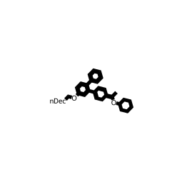 CCCCCCCCCCCOc1ccc(-c2ccccc2)c(C2=CC/C(=C(/C)OC3CCCCC3)C=C2)c1